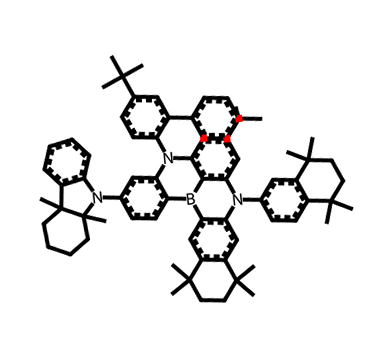 CC(C)c1cc2c3c(c1)N(c1ccc(C(C)(C)C)cc1-c1ccccc1)c1cc(N4c5ccccc5C5(C)CCCCC45C)ccc1B3c1cc3c(cc1N2c1ccc2c(c1)C(C)(C)CCC2(C)C)C(C)(C)CCC3(C)C